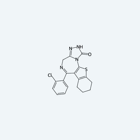 O=c1[nH]nc2n1-c1sc3c(c1C(c1ccccc1Cl)=NC2)CCCC3